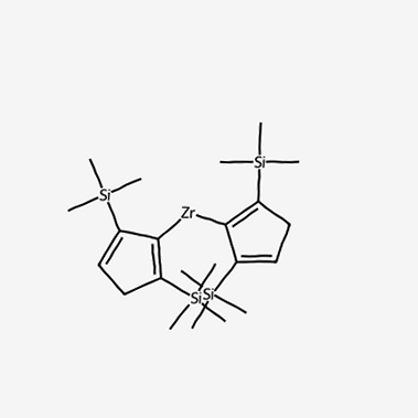 C[Si](C)(C)C1=CCC([Si](C)(C)C)=[C]1[Zr][C]1=C([Si](C)(C)C)CC=C1[Si](C)(C)C